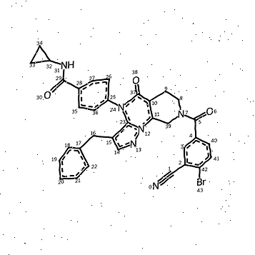 N#Cc1cc(C(=O)N2CCc3c(n4ncc(Cc5ccccc5)c4n(-c4ccc(C(=O)NC5CC5)cc4)c3=O)C2)ccc1Br